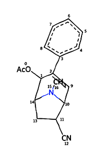 CC(=O)OC1C(c2ccccc2)=CC2C(C#N)CC1N2C